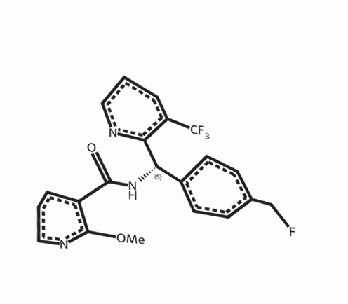 COc1ncccc1C(=O)N[C@@H](c1ccc(CF)cc1)c1ncccc1C(F)(F)F